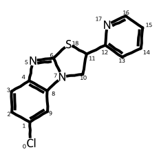 Clc1ccc2nc3n(c2c1)CC(c1ccccn1)S3